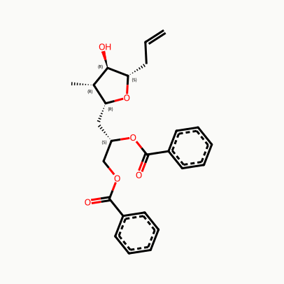 C=CC[C@@H]1O[C@H](C[C@@H](COC(=O)c2ccccc2)OC(=O)c2ccccc2)[C@H](C)[C@H]1O